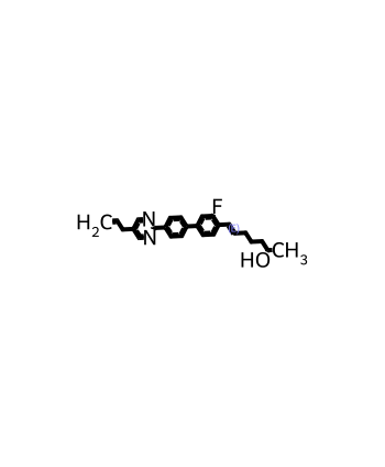 C=CCc1cnc(-c2ccc(-c3ccc(/C=C/CCCC(C)O)c(F)c3)cc2)nc1